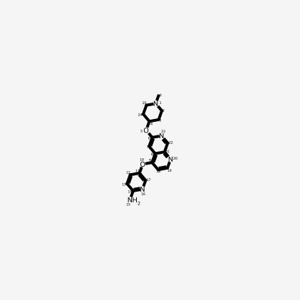 CN1CCC(Oc2cc3c(Oc4ccc(N)nc4)ccnc3cn2)CC1